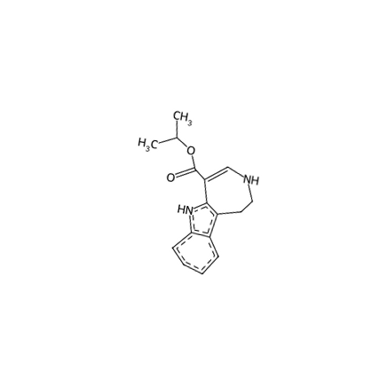 CC(C)OC(=O)C1=CNCCc2c1[nH]c1ccccc21